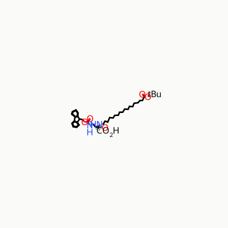 CC(C)(C)OC(=O)CCCCCCCCCCCCCCCCC(=O)N[C@@H](CCNC(=O)OCC1c2ccccc2-c2ccccc21)C(=O)O